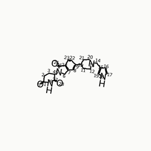 O=C1CCC(N2Cc3cc(C4CCN(Cc5cc[nH]c5)CC4)ccc3C2=O)C(=O)N1